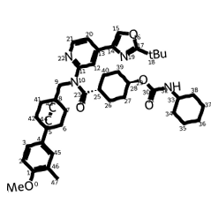 COc1ccc(C23CCC(CN(c4cc(-c5coc(C(C)(C)C)n5)ccn4)C(=O)[C@H]4CC[C@H](OC(=O)NC5CCCCC5)CC4)(CC2)CC3)cc1C